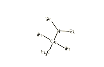 CC[N](C(C)C)[Ge]([CH3])([CH](C)C)[CH](C)C